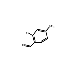 Nc1ccc([C]=O)c(Cl)c1